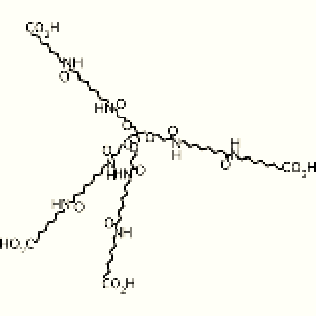 O=C(O)CCCCCCCNC(=O)CCCCCCCNC(=O)CCOCC(COCCC(=O)NCCCCCCCC(=O)NCCCCCCCC(=O)O)(COCCC(=O)NCCCCCCCC(=O)NCCCCCCCC(=O)O)COCCC(=O)NCCCCCCCC(=O)NCCCCCCCC(=O)O